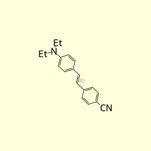 CCN(CC)c1ccc(/C=C/c2ccc(C#N)cc2)cc1